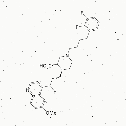 COc1ccc2nccc([C@@H](F)CC[C@@H]3CCN(CCCCc4cccc(F)c4F)C[C@@H]3C(=O)O)c2c1